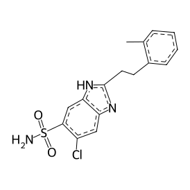 Cc1ccccc1CCc1nc2cc(Cl)c(S(N)(=O)=O)cc2[nH]1